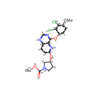 COc1ccc(Oc2ncnc3ccc(O[C@H]4CCN(C(=O)OC(C)(C)C)C4)nc23)c(F)c1Cl